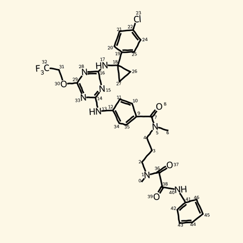 CN(CCCN(C)C(=O)c1ccc(Nc2nc(NC3(c4ccc(Cl)cc4)CC3)nc(OCC(F)(F)F)n2)cc1)C(=O)C(=O)Nc1ccccc1